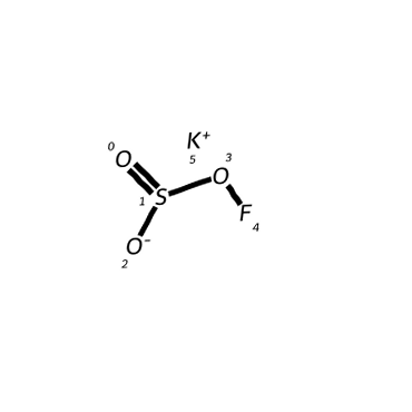 O=S([O-])OF.[K+]